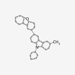 Cc1ccc2c(c1)c1cc(-c3ccc4oc5ccccc5c4c3)ccc1n2-c1ccccc1